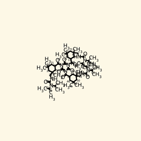 CC(C)N(C(=O)NCC1(C)CC(C(=O)n2c(=O)n(C(=O)C3CC(C)(C)CC(C)(CNC(=O)N(C(C)C)C(C)C)C3)c(=O)n(C(=O)C3CC(C)(C)CC(C)(CNC(=O)N(C(C)C)C(C)C)C3)c2=O)CC(C)(C)C1)C(C)C